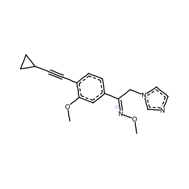 CO/N=C(\Cn1ccnc1)c1ccc(C#CC2CC2)c(OC)c1